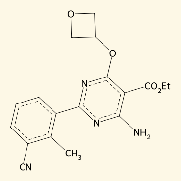 CCOC(=O)c1c(N)nc(-c2cccc(C#N)c2C)nc1OC1COC1